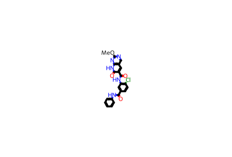 COc1ncc2cc(C(=O)Nc3cc(C(=O)Nc4ccccc4)ccc3Cl)c(=O)[nH]c2n1